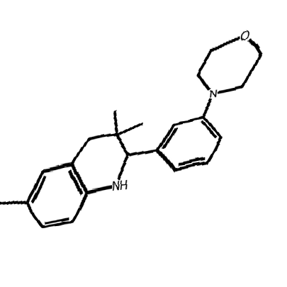 CC1(C)Cc2cc(Cl)ccc2NC1c1cccc(N2CCOCC2)c1